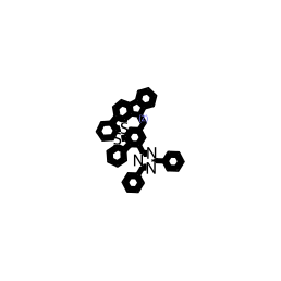 C1=Cc2sc3c4c(ccc3c2CC1)-c1ccccc1/C4=C/c1cc(-c2nc(-c3ccccc3)nc(-c3ccccc3)n2)c2c(c1)sc1ccccc12